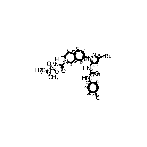 CN(C)S(=O)(=O)NC(=O)N1CCc2ccc(-n3nc(C(C)(C)C)cc3NC(=O)Nc3ccc(Cl)cc3)cc2C1